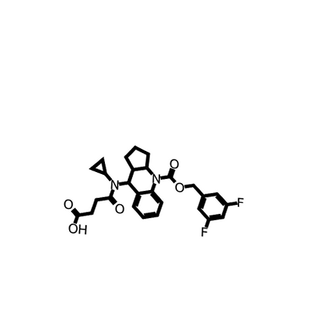 O=C(O)CCC(=O)N(C1CC1)C1c2ccccc2N(C(=O)OCc2cc(F)cc(F)c2)C2CCCC21